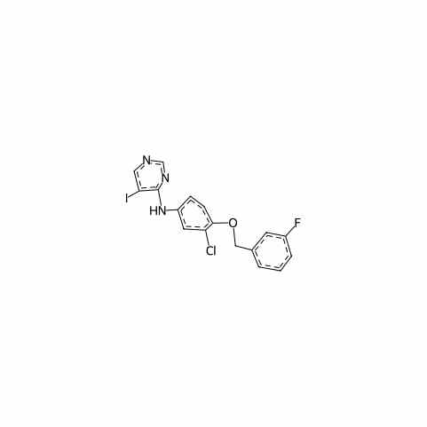 Fc1cccc(COc2ccc(Nc3ncncc3I)cc2Cl)c1